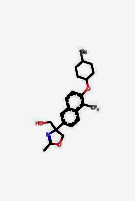 CC1=NC(CO)(c2ccc3c(C(F)(F)F)c(OC4CCC(C(C)(C)C)CC4)ccc3c2)CO1